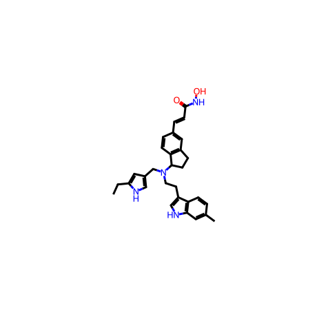 CCc1cc(CN(CCc2c[nH]c3cc(C)ccc23)C2CCc3cc(C=CC(=O)NO)ccc32)c[nH]1